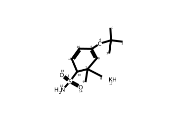 CC(C)(C)CC1=CC(C)(C)C(S(N)(=O)=O)C=C1.[KH]